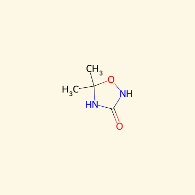 CC1(C)NC(=O)NO1